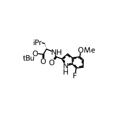 COc1ccc(F)c2[nH]c(C(=O)N[C@@H](CC(C)C)C(=O)OC(C)(C)C)cc12